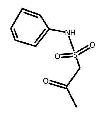 CC(=O)CS(=O)(=O)Nc1ccccc1